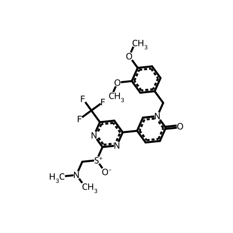 COc1ccc(Cn2cc(-c3cc(C(F)(F)F)nc([S+]([O-])CN(C)C)n3)ccc2=O)cc1OC